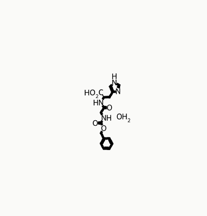 O.O=C(CNC(=O)OCc1ccccc1)N[C@@H](Cc1c[nH]cn1)C(=O)O